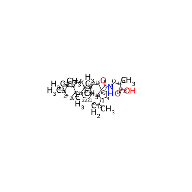 C=C(C)C1CCC2(C(=O)NCC(C)C(=O)O)CCC3(C)C(CCC4C5(C)CCC(C)C(C)(C)C5CCC43C)C12